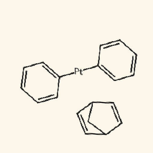 C1=CC2C=CC1C2.c1cc[c]([Pt][c]2ccccc2)cc1